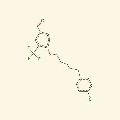 O=Cc1ccc(SCCCCCc2ccc(Cl)cc2)c(C(F)(F)F)c1